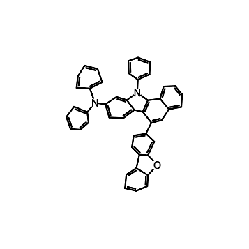 c1ccc(N(c2ccccc2)c2ccc3c4c(-c5ccc6c(c5)oc5ccccc56)cc5ccccc5c4n(-c4ccccc4)c3c2)cc1